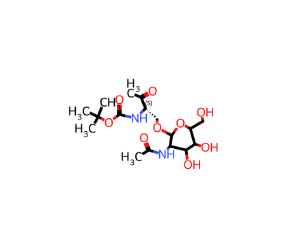 CC(=O)NC1C(OC[C@H](NC(=O)OC(C)(C)C)C(C)=O)OC(CO)C(O)C1O